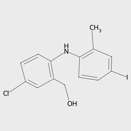 Cc1cc(I)ccc1Nc1ccc(Cl)cc1CO